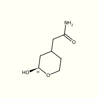 NC(=O)CC1CCO[C@@H](O)C1